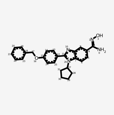 NC(=NO)c1ccc2c(c1)nc(-c1ccc(OCc3ccccc3)cc1)n2C1CCCC1